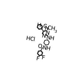 CN(C)c1nc(N[C@H]2CC[C@@H](NC(=O)c3ccc(F)c(F)c3)CC2)ncc1-c1ccccc1.Cl